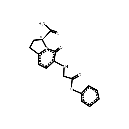 NC(=O)[C@@H]1CCc2ccc(NCC(=O)Oc3ccccc3)c(=O)n21